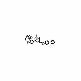 CS(=O)(=O)Nc1cc(C(O)CNCCOc2ccc3c(c2)oc2ccccc23)ccc1F